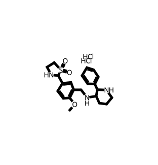 COc1ccc(C2NCCS2(=O)=O)cc1CNC1CCCNC1c1ccccc1.Cl.Cl